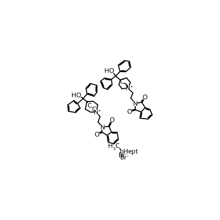 CCCCCCCC.O=C1c2ccccc2C(=O)N1CC[N+]12CCC(C(O)(c3ccccc3)c3ccccc3)(CC1)CC2.O=C1c2ccccc2C(=O)N1CC[N+]12CCC(C(O)(c3ccccc3)c3ccccc3)(CC1)CC2.[Br-].[Br-]